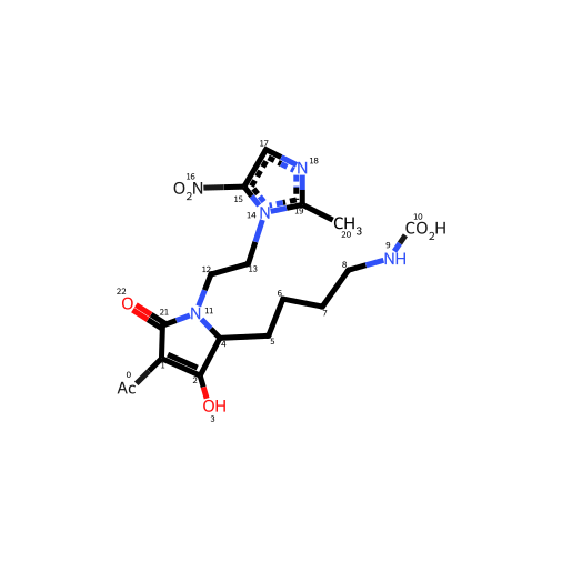 CC(=O)C1=C(O)C(CCCCNC(=O)O)N(CCn2c([N+](=O)[O-])cnc2C)C1=O